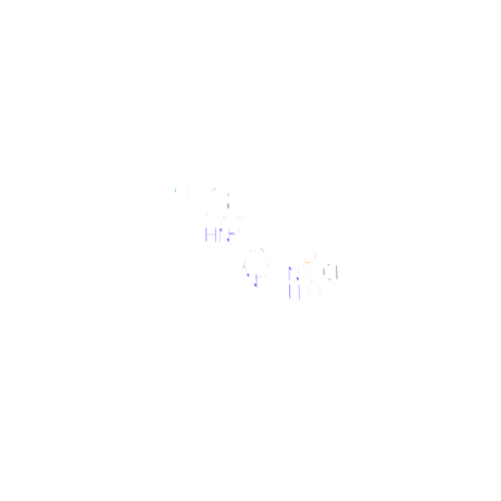 CS(=O)(=O)NCc1cncc(-c2cc3ccc(Cl)cc3[nH]2)c1